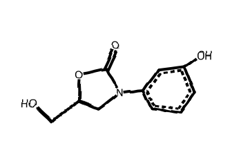 O=C1OC(CO)CN1c1cccc(O)c1